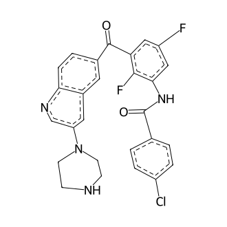 O=C(Nc1cc(F)cc(C(=O)c2ccc3ncc(N4CCNCC4)cc3c2)c1F)c1ccc(Cl)cc1